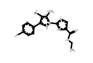 CCOC(=O)c1csc(-n2nc(-c3ccc(F)cc3)c(Br)c2C)n1